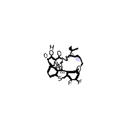 CC(C)[C@H]1/C=C/COc2cc(F)c(F)c3c2[C@@H](c2ccccc2SC3)N2CN1C(=O)c1c(O)c(=O)ccn12